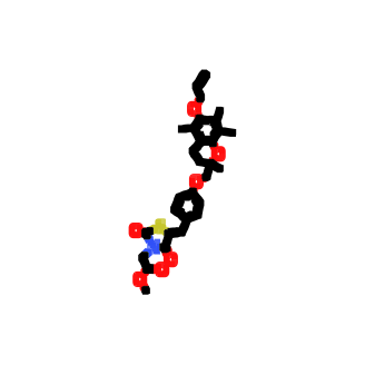 C=CCOc1c(C)c(C)c2c(c1C)CCC(C)(COc1ccc(/C=C3\SC(=O)N(CC(=O)OC)C3=O)cc1)O2